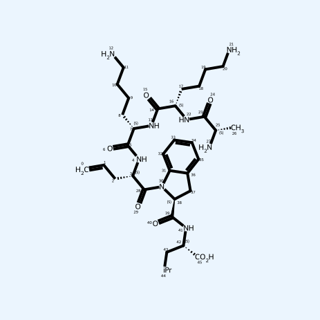 C=CC[C@H](NC(=O)[C@H](CCCCN)NC(=O)[C@H](CCCCN)NC(=O)[C@H](C)N)C(=O)N1c2ccccc2C[C@H]1C(=O)N[C@@H](CC(C)C)C(=O)O